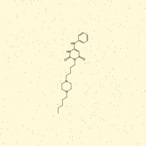 CCCCCN1CCN(CCCCn2c(=O)cc(Nc3ccccc3)[nH]c2=O)CC1